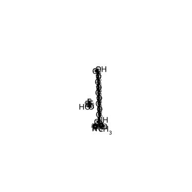 CN1C(=O)C[C@H](C(=O)NCCOCCOCCOCCOCCOCCOCCOCCOCCC(=O)O)[C@H]1c1cccnc1.O=C(O)C(F)(F)F